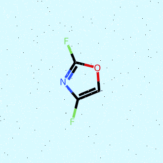 Fc1[c]oc(F)n1